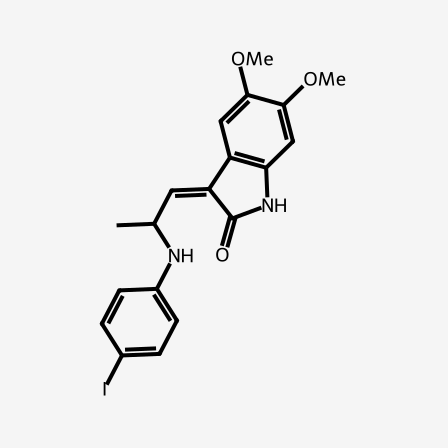 COc1cc2c(cc1OC)C(=CC(C)Nc1ccc(I)cc1)C(=O)N2